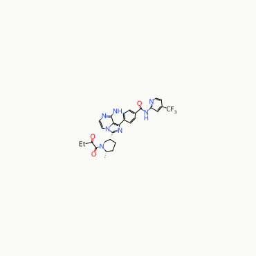 CCC(=O)C(=O)N1C[C@H](c2nc(-c3ccc(C(=O)Nc4cc(C(F)(F)F)ccn4)cc3)c3c(N)nccn23)CC[C@@H]1C